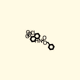 O=C(Nc1cccc2c(S(=O)(=O)Cl)cccc12)OCc1ccccc1